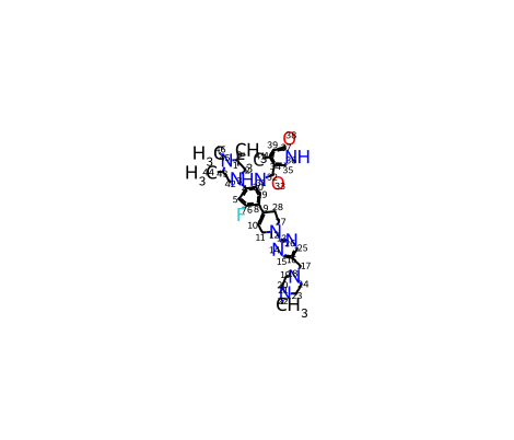 CC1CN(c2cc(F)c(C3=CCN(c4ncc(CN5CCN(C)CC5)cn4)CC3)cc2NC(=O)c2c[nH]c(=O)cc2C(F)(F)F)CC(C)N1C